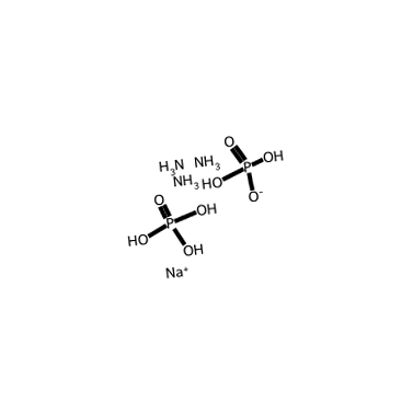 N.N.N.O=P(O)(O)O.O=P([O-])(O)O.[Na+]